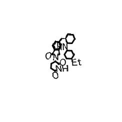 CC[C@H]1CC[C@H](N[C@H]2CCCC[C@@H]2Cc2ccc3c(c2)CN(C2CCC(=O)NC2=O)C3=O)CC1